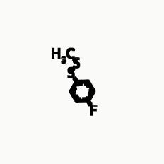 CSSc1ccc(F)cc1